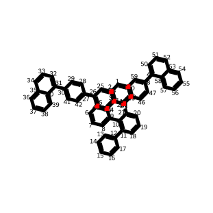 c1ccc(-c2ccccc2-c2c(-c3ccccc3)cccc2N(c2ccc(-c3ccc(-c4cccc5ccccc45)cc3)cc2)c2ccc(-c3cccc4ccccc34)cc2)cc1